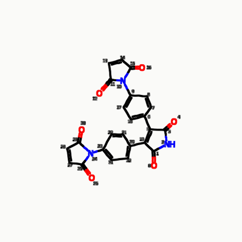 O=C1NC(=O)C(c2ccc(N3C(=O)C=CC3=O)cc2)=C1c1ccc(N2C(=O)C=CC2=O)cc1